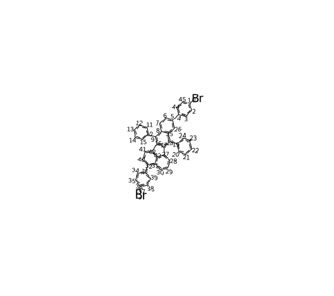 Brc1ccc(-c2ccc3c(-c4ccccc4)c4c(c(-c5ccccc5)c3c2)-c2cccc3c(-c5ccc(Br)cc5)ccc-4c23)cc1